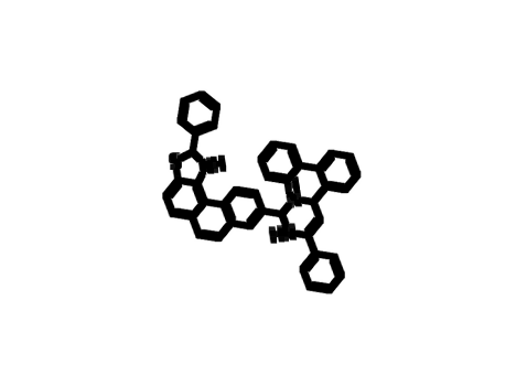 C1=C(c2ccccc2)NC(c2ccc3c(ccc4ccc5c(c43)NC(c3ccccc3)S5)c2)NC1c1ccccc1-c1ccccc1